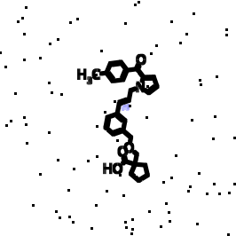 Cc1ccc(C(=O)c2cccn2C/C=C/c2cccc(COCC3(C(=O)O)CCCC3)c2)cc1